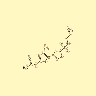 C=CCNS(=O)(=O)c1cc(-c2sc(NC(C)=O)nc2C)cs1